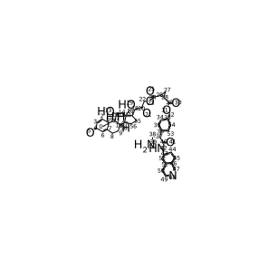 C[C@]12C=CC(=O)C=C1CC[C@@H]1[C@@H]2[C@@H](O)C[C@]2(C)C(C(O)C(=O)COC(=O)C3CC3C(=O)OCc3ccc([C@@H](CN)C(=O)Nc4ccc5cnccc5c4)cc3)CC[C@@H]12